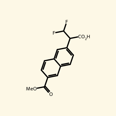 COC(=O)c1ccc2cc(C(C(=O)O)C(F)F)ccc2c1